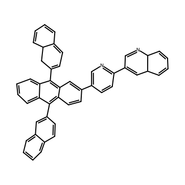 C1=CC2=CC=C(c3c4ccccc4c(-c4ccc5ccccc5c4)c4ccc(-c5ccc(C6=CC7C=CC=CC7N=C6)nc5)cc34)CC2C=C1